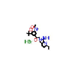 Br.CCc1ccc2c(n1)C(=N)N(CC(=O)c1cc(N(C)C(C)=O)c3c(c1)C(C)(C)CO3)C2